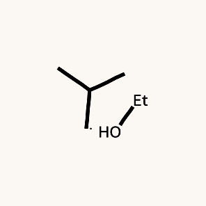 CCO.[CH2]C(C)C